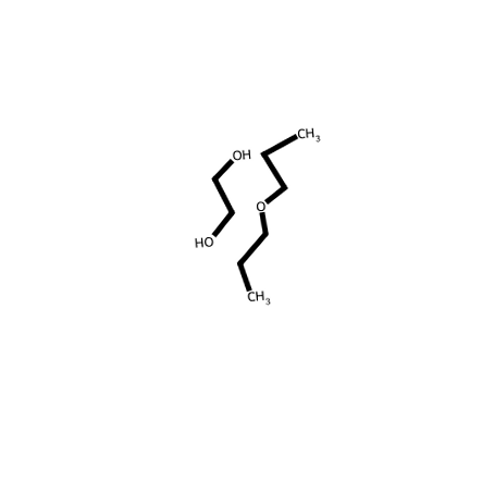 CCCOCCC.OCCO